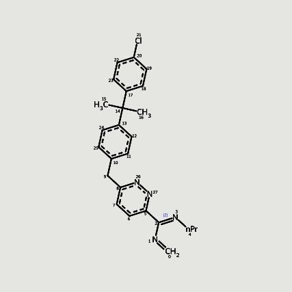 C=N/C(=N\CCC)c1ccc(Cc2ccc(C(C)(C)c3ccc(Cl)cc3)cc2)nn1